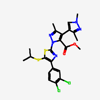 COC(=O)c1c(-c2cn(C)nc2C)c(C)nn1-c1nc(-c2ccc(Cl)c(Cl)c2)c(SC(C)C)s1